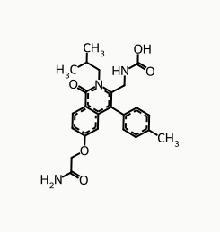 Cc1ccc(-c2c(CNC(=O)O)n(CC(C)C)c(=O)c3ccc(OCC(N)=O)cc23)cc1